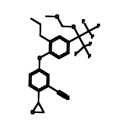 CCCc1cc(C(OCOC)(C(F)(F)F)C(F)(F)F)ccc1Oc1ccc(C2CO2)c(C#N)c1